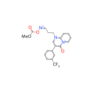 COC(=O)O/N=C\CCn1cc(-c2cccc(C(F)(F)F)c2)c(=O)[n+]2ccccc12